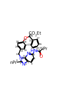 CCCc1nc2ccc(NC(=O)C(C)C)nc2n1Cc1ccc(OC(C(=O)OCC)c2ccccc2)cc1